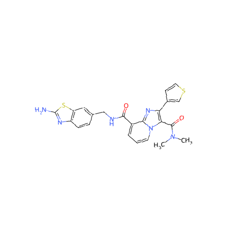 CN(C)C(=O)c1c(-c2ccsc2)nc2c(C(=O)NCc3ccc4nc(N)sc4c3)cccn12